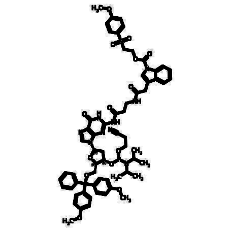 COc1ccc(C(OC[C@H]2O[C@@H](n3cnc4c(=O)[nH]c(NC(=O)CCNC(=O)Cc5cn(C(=O)OCCS(=O)(=O)c6ccc(OC)cc6)c6ccccc56)nc43)C[C@H]2OP(OCCC#N)N(C(C)C)C(C)C)(c2ccccc2)c2ccc(OC)cc2)cc1